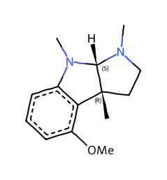 COc1cccc2c1[C@@]1(C)CCN(C)[C@H]1N2C